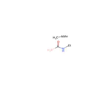 BC(=O)NCC.CNC